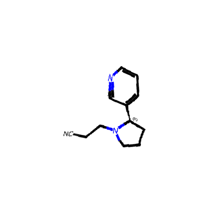 N#CCCN1CCC[C@@H]1c1cccnc1